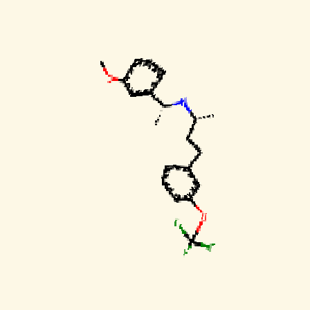 COc1cccc([C@@H](C)N[C@H](C)CCc2cccc(OC(F)(F)F)c2)c1